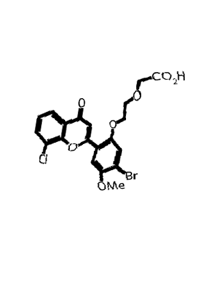 COc1cc(-c2cc(=O)c3cccc(Cl)c3o2)c(OCCOCC(=O)O)cc1Br